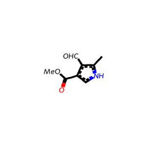 COC(=O)c1c[nH]c(C)c1C=O